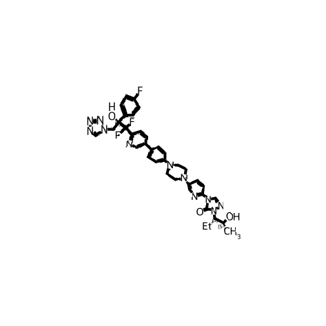 CC[C@@H]([C@H](C)O)n1ncn(-c2ccc(N3CCN(c4ccc(-c5ccc(C(F)(F)[C@](O)(Cn6cnnn6)c6ccc(F)cc6)nc5)cc4)CC3)cn2)c1=O